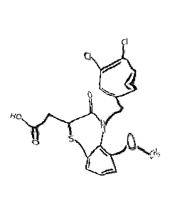 COc1cccc2c1N(Cc1ccc(Cl)c(Cl)c1)C(=O)C(CC(=O)O)S2